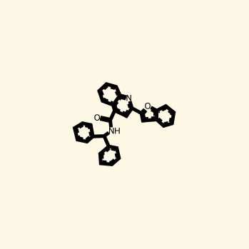 O=C(NC(c1ccccc1)c1ccccc1)c1cc(-c2cc3ccccc3o2)nc2ccccc12